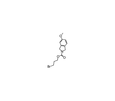 COc1ccc2c(c1)CN(C(=O)OCCCBr)C2